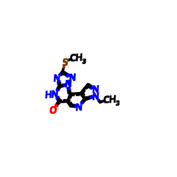 CCn1ncc2c1ncc1c(=O)[nH]c3nc(SC)nn3c12